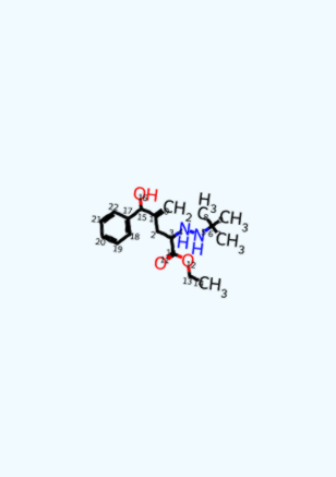 C=C(CC(NNC(C)(C)C)C(=O)OCC)C(O)c1ccccc1